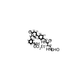 CCOC(=O)Nc1cccc(Cn2nc(-c3ccc(CNC(=O)CCNC=O)cc3)ccc2=O)c1